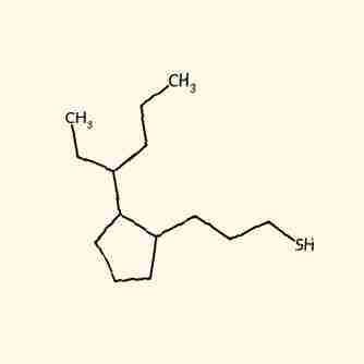 CCCC(CC)C1CCCC1CCCS